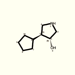 O[C@H]1CNC[C@@H]1C1CCCC1